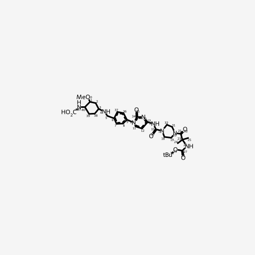 COC1CC(NCc2ccc(-n3ccc(NC(=O)N4CCN(C(=O)C(C)(C)NC(=O)OC(C)(C)C)CC4)nc3=O)cc2)CCC1NC(=O)O